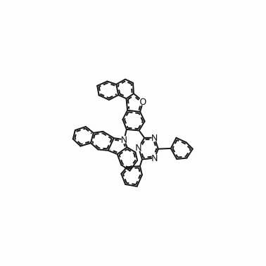 c1ccc(-c2nc(-c3ccccc3)nc(-c3cc4oc5ccc6ccccc6c5c4cc3-n3c4ccccc4c4cc5ccccc5cc43)n2)cc1